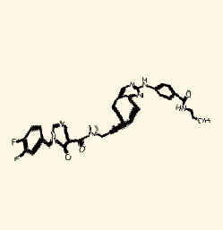 O=C(NCCO)c1ccc(Nc2ncc3cc(C#CCNC(=O)c4cncn(Cc5ccc(F)c(F)c5)c4=O)ccc3n2)cc1